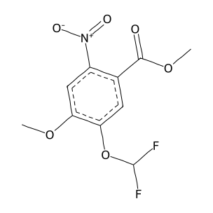 COC(=O)c1cc(OC(F)F)c(OC)cc1[N+](=O)[O-]